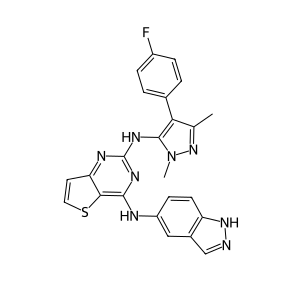 Cc1nn(C)c(Nc2nc(Nc3ccc4[nH]ncc4c3)c3sccc3n2)c1-c1ccc(F)cc1